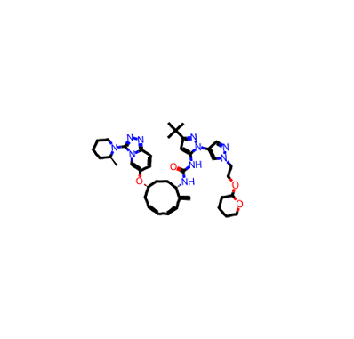 C=C1/C=C\C=C/C[C@H](Oc2ccc3nnc(N4CCCC[C@@H]4C)n3c2)CC[C@@H]1NC(=O)Nc1cc(C(C)(C)C)nn1-c1cnn(CCOC2CCCCO2)c1